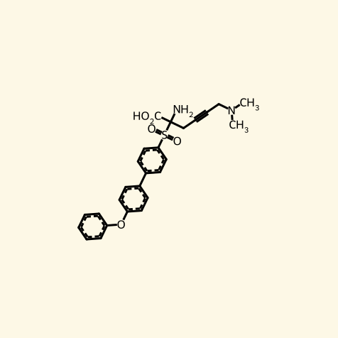 CN(C)CC#CCC(N)(C(=O)O)S(=O)(=O)c1ccc(-c2ccc(Oc3ccccc3)cc2)cc1